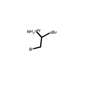 CCCCC(CBr)CCC.N